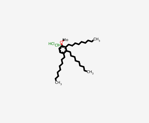 CCCCCCCCCc1ccc([O][Mo])c(CCCCCCCCC)c1CCCCCCCCC.Cl.Cl